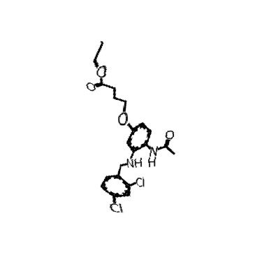 CCOC(=O)CCCOc1ccc(NC(C)=O)c(NCc2ccc(Cl)cc2Cl)c1